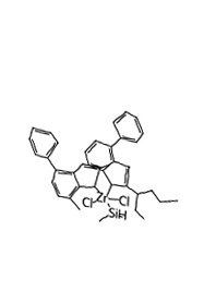 CCCC(CC)C1=Cc2c(-c3ccccc3)cccc2[CH]1[Zr]([Cl])([Cl])([CH]1C(C)=Cc2c(-c3ccccc3)ccc(C)c21)[SiH](C)C